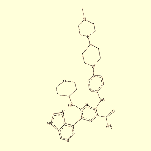 CN1CCN(C2CCN(c3ccc(Nc4nc(NC5CCOCC5)c(-c5cncc6[nH]cnc56)nc4C(N)=O)cc3)CC2)CC1